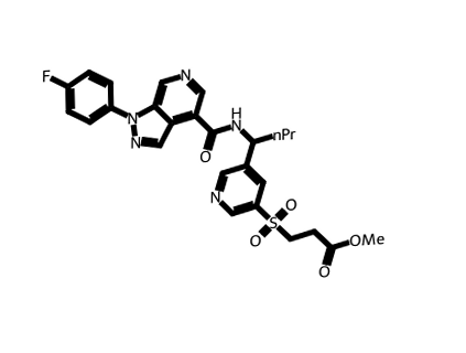 CCCC(NC(=O)c1cncc2c1cnn2-c1ccc(F)cc1)c1cncc(S(=O)(=O)CCC(=O)OC)c1